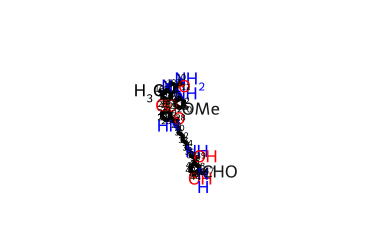 COc1cccc(Nc2c(C(N)=O)cnc3c(C)cc(S(=O)(=O)c4cccc(C(=O)NCCCCCCNCC(O)c5ccc(O)c(NC=O)c5)c4)cc23)c1